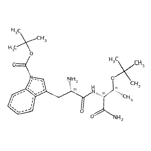 C[C@@H](OC(C)(C)C)[C@@H](NC(=O)[C@@H](N)Cc1cn(C(=O)OC(C)(C)C)c2ccccc12)C(N)=O